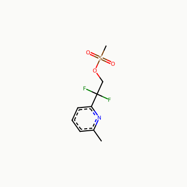 Cc1cccc(C(F)(F)COS(C)(=O)=O)n1